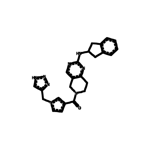 O=C(c1ccn(Cc2c[nH]nn2)c1)N1CCc2nc(NC3Cc4ccccc4C3)ncc2C1